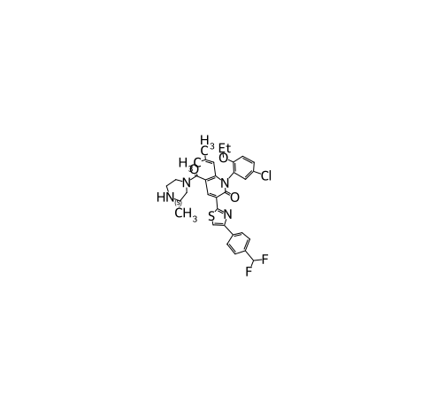 CCOc1ccc(Cl)cc1-n1c(C=C(C)C)c(C(=O)N2CCN[C@@H](C)C2)cc(-c2nc(-c3ccc(C(F)F)cc3)cs2)c1=O